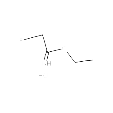 CCOC(=N)CF.Cl